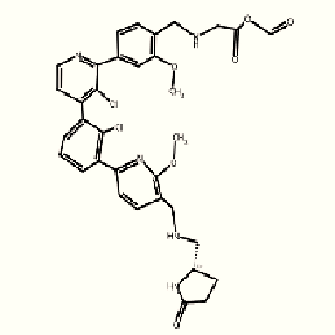 COc1cc(-c2nccc(-c3cccc(-c4ccc(CNC[C@@H]5CCC(=O)N5)c(OC)n4)c3Cl)c2Cl)ccc1CNCC(=O)OC=O